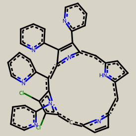 Clc1c(Cl)c2c(-c3ccccn3)c3nc(cc4ccc(cc5nc(cc1n2-c1ccccn1)C=C5)[nH]4)C(c1ccccn1)=C3c1ccccn1